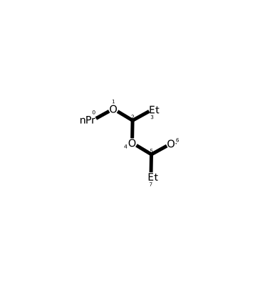 CCCOC(CC)OC([O])CC